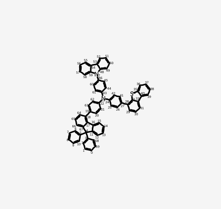 c1ccc(C2(c3ccccc3)c3ccccc3-c3c(-c4ccc(N(c5ccc(-c6cccc7c6sc6ccccc67)cc5)c5ccc(-n6c7ccccc7c7ccccc76)cc5)cc4)cccc32)cc1